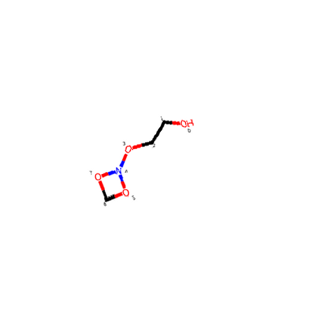 OCCON1OCO1